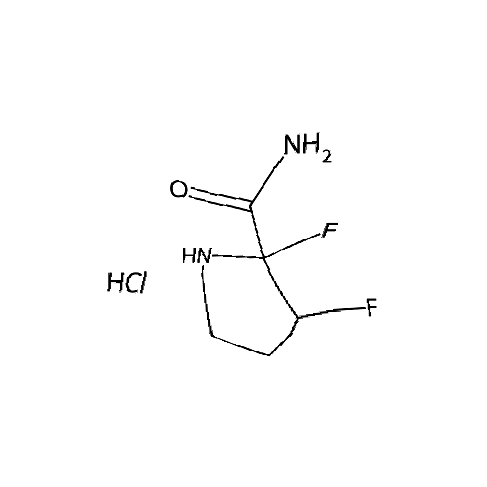 Cl.NC(=O)C1(F)NCCC1F